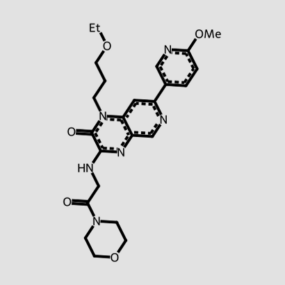 CCOCCCn1c(=O)c(NCC(=O)N2CCOCC2)nc2cnc(-c3ccc(OC)nc3)cc21